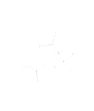 C=C(F)F.FC(F)C(F)(F)C(F)(F)F